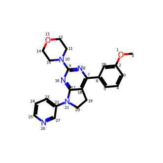 COc1cccc(-c2nc(N3CCOCC3)nc3c2CCN3c2cccnc2)c1